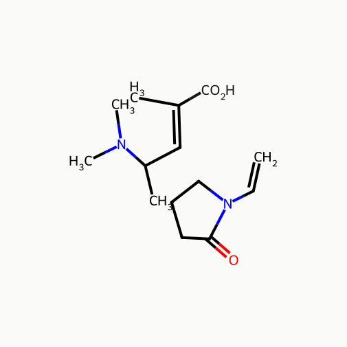 C=CN1CCCC1=O.CC(=CC(C)N(C)C)C(=O)O